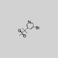 CC(C)(c1cncc(Br)c1)S(C)(=O)=O